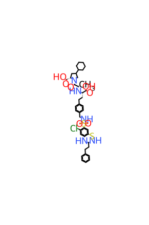 C[C@H](N[C@@H](CCc1ccc(CNS(=O)(=O)c2cc3c(cc2Cl)NC(CCc2ccccc2)NS3)cc1)C(=O)O)C(=O)N1CC(C2CCCCC2)C[C@H]1C(=O)O